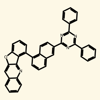 c1ccc(-c2nc(-c3ccccc3)nc(-c3ccc4c(-c5cccc6oc7cc8ccccc8nc7c56)cccc4c3)n2)cc1